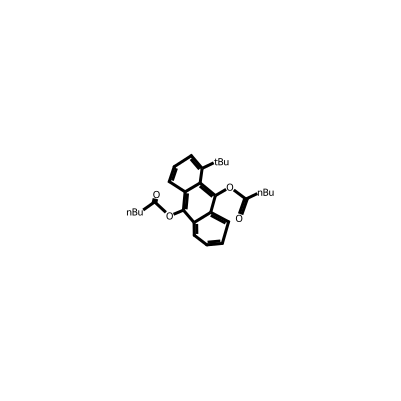 CCCCC(=O)Oc1c2ccccc2c(OC(=O)CCCC)c2c(C(C)(C)C)cccc12